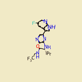 CC(C)[C@@H](Nc1cncc(-c2c[nH]c3ncc(F)cc23)n1)C(=O)NCC(F)(F)F